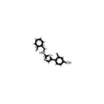 Cc1cc(O)ccc1-c1cnc(NCc2ccccc2F)s1